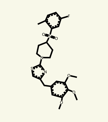 COc1cc(Cc2csc(N3CCC(S(=O)(=O)c4cc(F)ccc4C)CC3)n2)cc(OC)c1OC